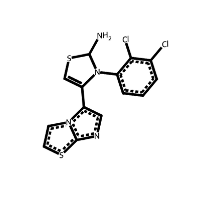 NC1SC=C(c2cnc3sccn23)N1c1cccc(Cl)c1Cl